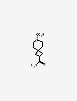 NC(=S)C1CC2(CCN(C(=O)O)CC2)C1